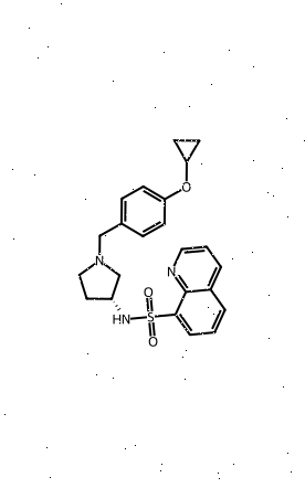 O=S(=O)(N[C@@H]1CCN(Cc2ccc(OC3CC3)cc2)C1)c1cccc2cccnc12